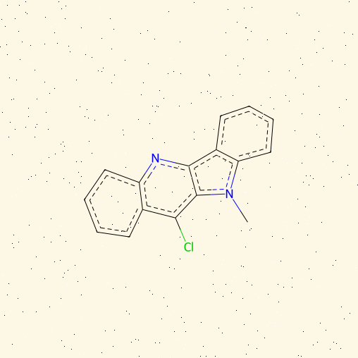 Cn1c2ccccc2c2nc3ccccc3c(Cl)c21